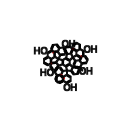 Oc1ccc(C2(c3ccc(O)c4ccccc34)c3ccccc3-c3c2c2c(c4c3C(c3ccc(O)c5ccccc35)(c3ccc(O)c5ccccc35)c3ccccc3-4)C(c3ccc(O)c4ccccc34)(c3ccc(O)c4ccccc34)c3ccccc3-2)c2ccccc12